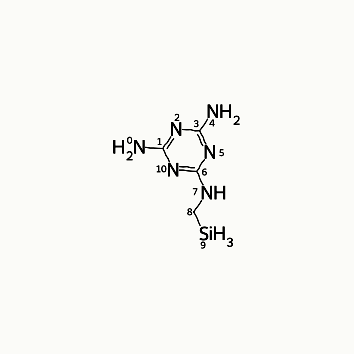 Nc1nc(N)nc(NC[SiH3])n1